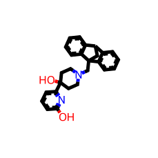 Oc1cccc(C2(O)CCN(CC34CC(c5ccccc53)c3ccccc34)CC2)n1